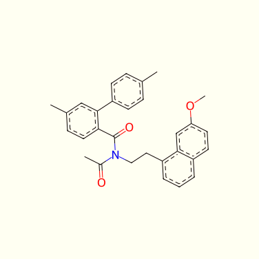 COc1ccc2cccc(CCN(C(C)=O)C(=O)c3ccc(C)cc3-c3ccc(C)cc3)c2c1